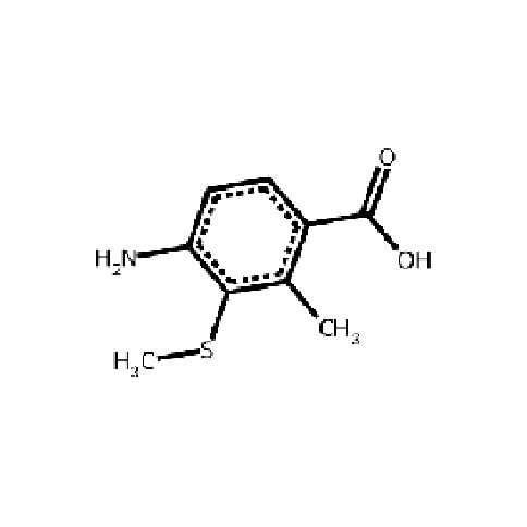 CSc1c(N)ccc(C(=O)O)c1C